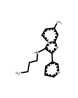 CCCCNc1c(-c2cccnc2)nc2cc(C)ccn12